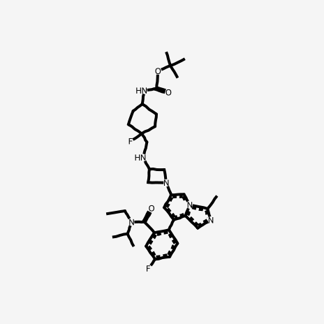 CCN(C(=O)c1cc(F)ccc1-c1cc(N2CC(NCC3(F)CCC(NC(=O)OC(C)(C)C)CC3)C2)cn2c(C)ncc12)C(C)C